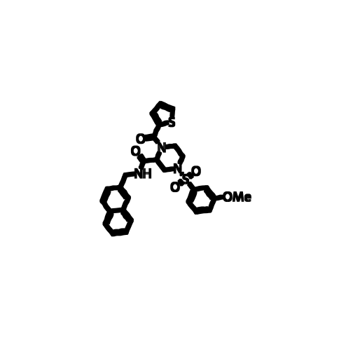 COc1cccc(S(=O)(=O)N2CCN(C(=O)c3cccs3)C(C(=O)NCc3ccc4ccccc4c3)C2)c1